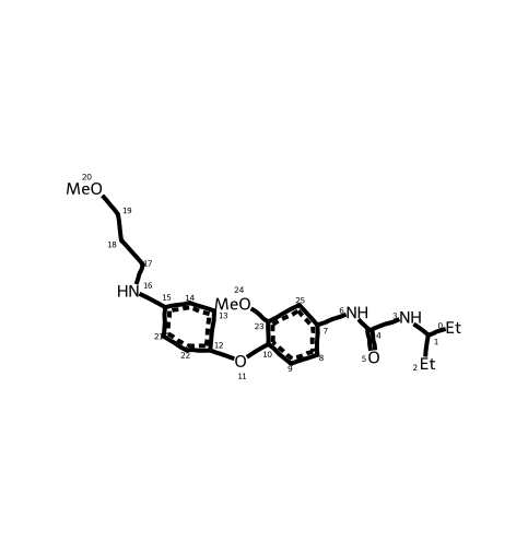 CCC(CC)NC(=O)Nc1ccc(Oc2ccc(NCCCOC)cc2)c(OC)c1